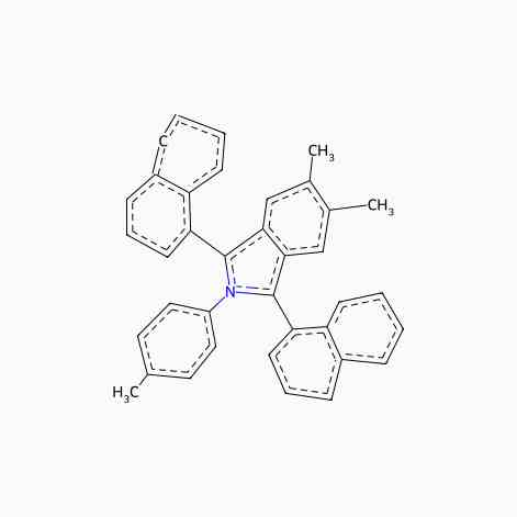 Cc1ccc(-n2c(-c3cccc4ccccc34)c3cc(C)c(C)cc3c2-c2cccc3ccccc23)cc1